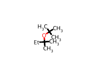 CCC(C)(C)OC(C)(C)C